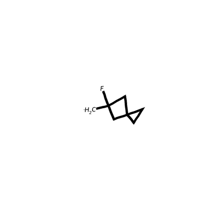 [CH2]C1(F)CC2(CC2)C1